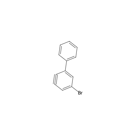 Brc1cc#cc(-c2ccccc2)c1